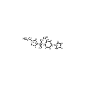 O=C(O)[C@@H]1CC[C@@H](S(=O)(=O)c2ccc(-n3cccn3)cc2Cl)C1